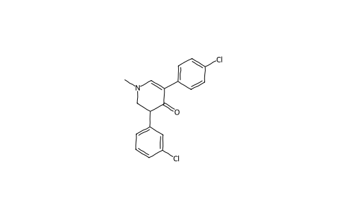 CN1C=C(c2ccc(Cl)cc2)C(=O)C(c2cccc(Cl)c2)C1